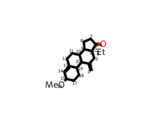 C=C1C[C@]2(CC)C(=O)CCC2C2CCC3=CC(OC)CCC3C12